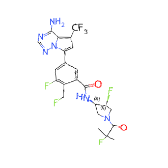 CC(C)(F)C(=O)N1C[C@H](F)[C@H](NC(=O)c2cc(-c3cc(C(F)(F)F)c4c(N)ncnn34)cc(F)c2CF)C1